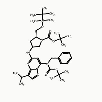 CC(C)c1cnn2c(N(Cc3ccccc3)C(=O)OC(C)(C)C)cc(NC3C[C@@H](CO[Si](C)(C)C(C)(C)C)N(C(=O)OC(C)(C)C)C3)nc12